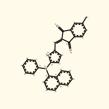 Cc1ccc2c(c1)C(=O)/C(=C/c1ccc(N(c3ccccc3)c3cccc4ccccc34)[se]1)C2=O